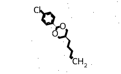 C=CCCC[C@H]1CO[C@H](c2ccc(Cl)cc2)OC1